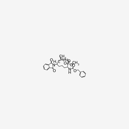 COP(=O)(OPN(C)C)C(CCCCN1C(=O)c2ccccc2C1=O)NC(=O)OCc1ccccc1